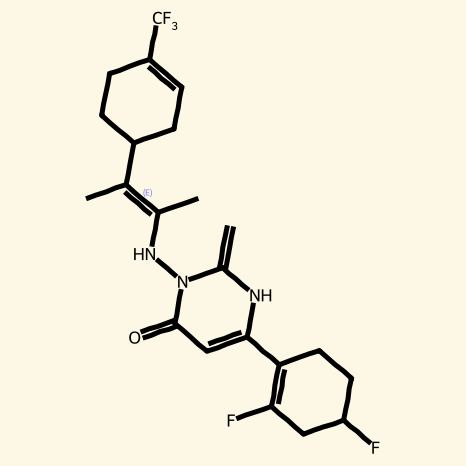 C=C1NC(C2=C(F)CC(F)CC2)=CC(=O)N1N/C(C)=C(\C)C1CC=C(C(F)(F)F)CC1